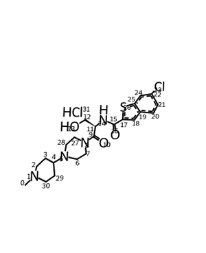 CN1CCC(N2CCN(C(=O)[C@@H](CO)NC(=O)c3cc4ccc(Cl)cc4s3)CC2)CC1.Cl